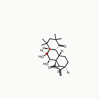 C=C1C(=O)[C@]23[C@H](O)[C@H]1CC[C@H]2[C@@]12CO[C@]3(O)[C@@H](O)[C@@H]1C(C)(C)CC(C)(C)C2=O